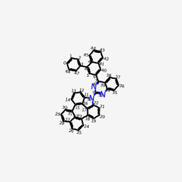 c1ccc(-c2cc(-c3nc(-n4c5cccc6c5c5c(cccc54)-c4cccc5cccc-6c45)nc4ccccc34)cc3ccccc23)cc1